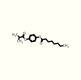 CCCCCCCC(=O)Oc1ccc(OC(=O)C(C)C)cc1